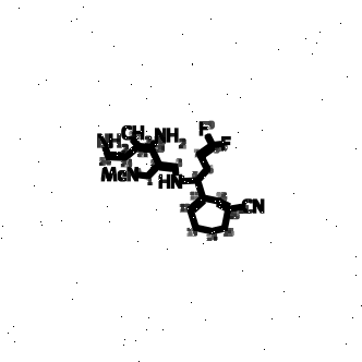 CNCC(=C\NC(CC=C(F)F)C1=CCCCC(C#N)=C1)/C(N)=C(C)\C=C/N